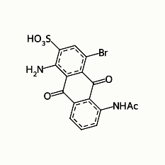 CC(=O)Nc1cccc2c1C(=O)c1c(Br)cc(S(=O)(=O)O)c(N)c1C2=O